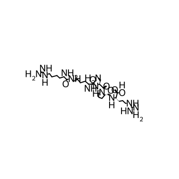 N=C(N)NCCCC[C@H](N)C(=O)NCCCC[C@H](N)C(=O)N[C@@H](CN)C(=O)N1CCC[C@H]1C(=O)N[C@@H](CCCNC(=N)N)C(=O)O